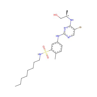 CCCCCCCCNS(=O)(=O)c1cc(Nc2ncc(Br)c(N[C@H](C)CO)n2)ccc1C